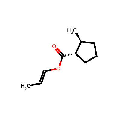 C/C=C/OC(=O)[C@H]1CCC[C@@H]1C